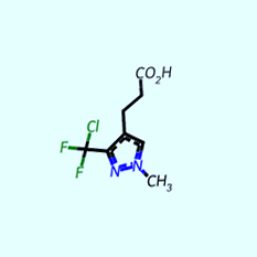 Cn1cc(CCC(=O)O)c(C(F)(F)Cl)n1